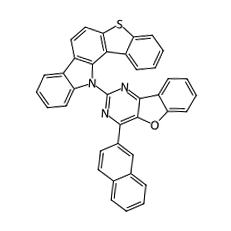 c1ccc2cc(-c3nc(-n4c5ccccc5c5ccc6sc7ccccc7c6c54)nc4c3oc3ccccc34)ccc2c1